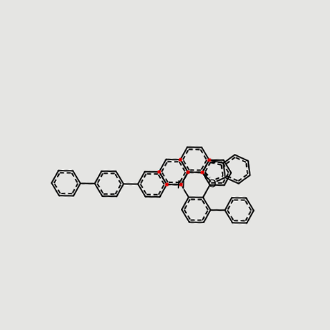 c1ccc(-c2ccc(-c3ccc(N(c4cccc(-c5ccccc5)c4-c4ccccc4-c4ccccc4)c4cccc5c4oc4ccccc45)cc3)cc2)cc1